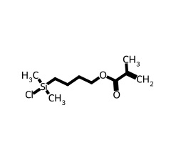 C=C(C)C(=O)OCCCC[Si](C)(C)Cl